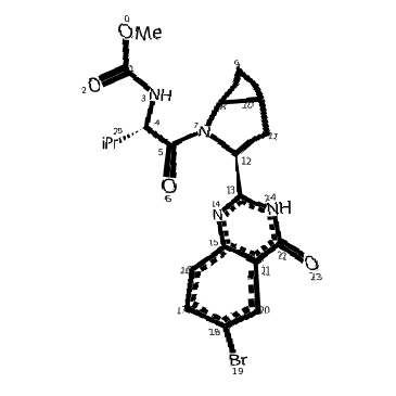 COC(=O)N[C@H](C(=O)N1C2CC2C[C@H]1c1nc2ccc(Br)cc2c(=O)[nH]1)C(C)C